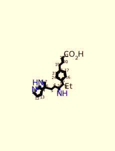 CC[C@H](C(=N)CCc1c[nH]c2ncccc12)c1ccc(C/C=C/C(=O)O)cc1